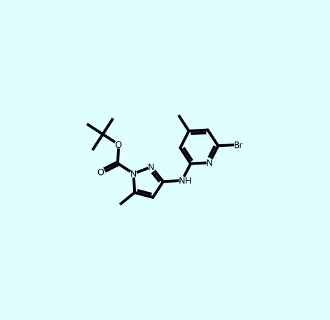 Cc1cc(Br)nc(Nc2cc(C)n(C(=O)OC(C)(C)C)n2)c1